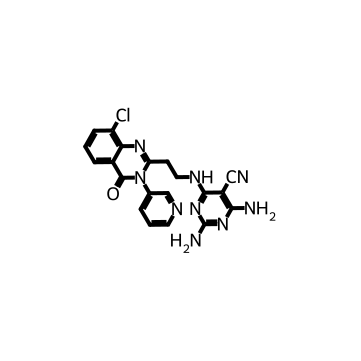 N#Cc1c(N)nc(N)nc1NCCc1nc2c(Cl)cccc2c(=O)n1-c1cccnc1